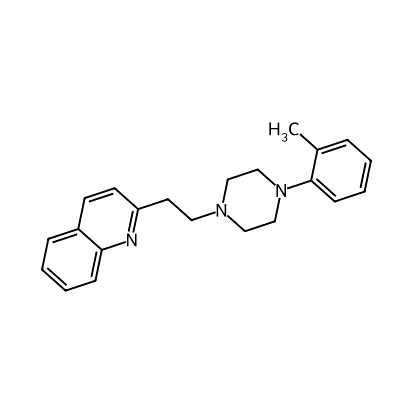 Cc1ccccc1N1CCN(CCc2ccc3ccccc3n2)CC1